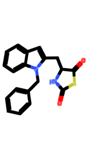 O=C1NC(Cc2cc3ccccc3n2Cc2ccccc2)C(=O)S1